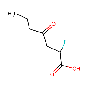 CCCC(=O)CC(F)C(=O)O